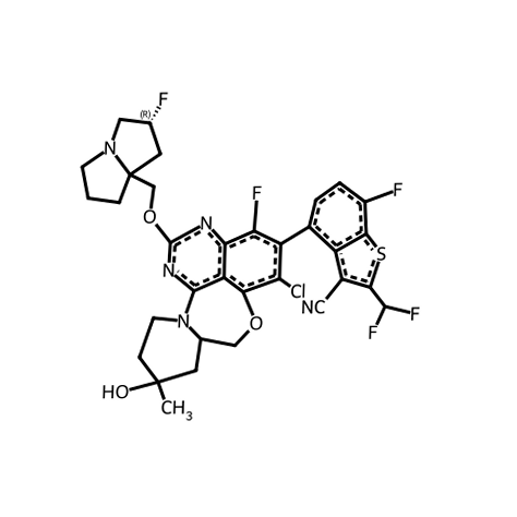 CC1(O)CCN2c3nc(OCC45CCCN4C[C@H](F)C5)nc4c(F)c(-c5ccc(F)c6sc(C(F)F)c(C#N)c56)c(Cl)c(c34)OCC2C1